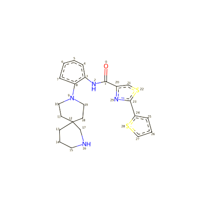 O=C(Nc1ccccc1N1CCC2(CCCNC2)CC1)c1csc(-c2cccs2)n1